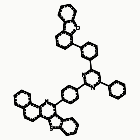 c1ccc(-c2cc(-c3cccc(-c4cccc5c4oc4ccccc45)c3)nc(-c3ccc(-c4nc5c6ccccc6ccc5c5sc6ccccc6c45)cc3)n2)cc1